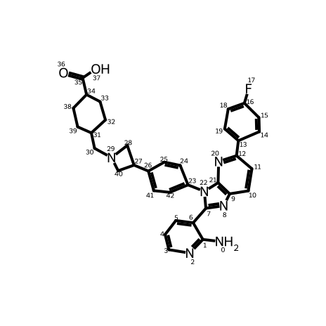 Nc1ncccc1-c1nc2ccc(-c3ccc(F)cc3)nc2n1-c1ccc(C2CN(CC3CCC(C(=O)O)CC3)C2)cc1